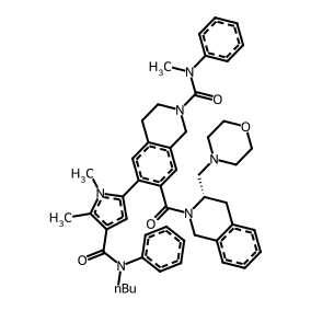 CCCCN(C(=O)c1cc(-c2cc3c(cc2C(=O)N2Cc4ccccc4C[C@H]2CN2CCOCC2)CN(C(=O)N(C)c2ccccc2)CC3)n(C)c1C)c1ccccc1